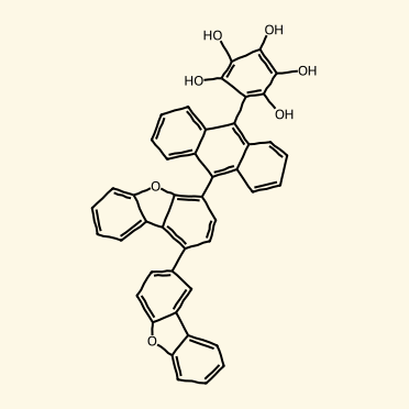 Oc1c(O)c(O)c(-c2c3ccccc3c(-c3ccc(-c4ccc5oc6ccccc6c5c4)c4c3oc3ccccc34)c3ccccc23)c(O)c1O